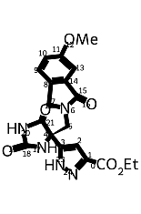 CCOC(=O)c1cc([C@]2(CN3Cc4ccc(OC)cc4C3=O)NC(=O)NC2=O)[nH]n1